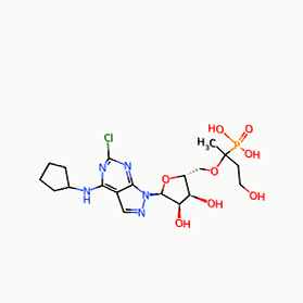 CC(CCO)(OC[C@H]1O[C@H](n2ncc3c(NC4CCCC4)nc(Cl)nc32)[C@H](O)[C@@H]1O)P(=O)(O)O